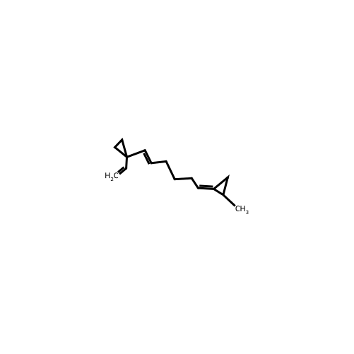 C=CC1(C=CCCCC=C2CC2C)CC1